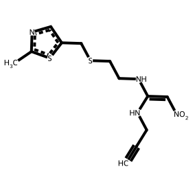 C#CCNC(=C[N+](=O)[O-])NCCSCc1cnc(C)s1